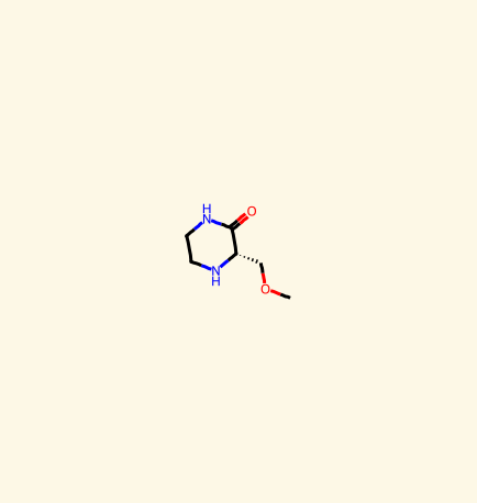 COC[C@@H]1NCCNC1=O